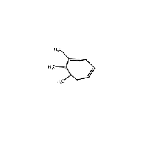 C/C1=C\C/C=C\CC(C)N1C